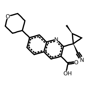 C[C@H]1C[C@]1(C#N)c1nc2cc(C3CCOCC3)ccc2cc1C(=O)O